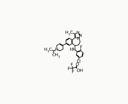 Cc1nnn2c1-c1ccc(C3=CCN(C(C)C)CC3)cc1C(Nc1cc(Cl)ccc1F)CC2.O=C(O)C(F)(F)F